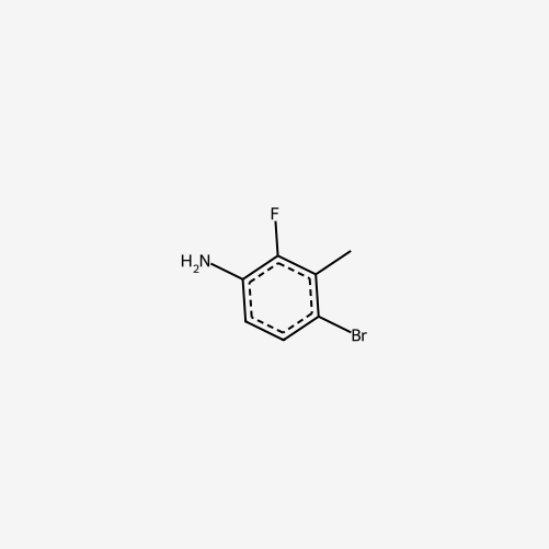 Cc1c(Br)ccc(N)c1F